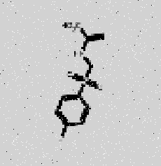 C=C(NCS(=O)(=O)c1ccc(F)cc1)C(=O)O